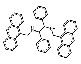 c1ccc(C(NCc2c3ccccc3cc3ccccc23)[C@H](NCc2c3ccccc3cc3ccccc23)c2ccccc2)cc1